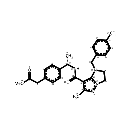 COC(=O)Cc1ccc([C@H](C)NC(=O)c2c(C(F)(F)F)nn3c2N(Cc2ccc(C(F)(F)F)cc2)CC3)cc1